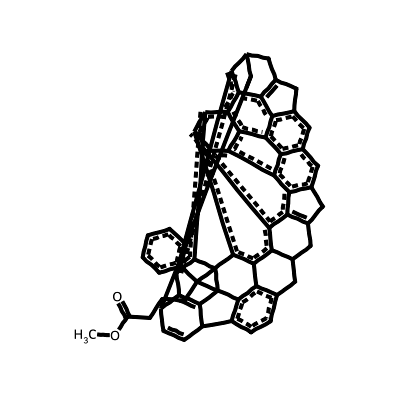 COC(=O)CCCC1(c2ccccc2)C23C4=C5c6c7c8c9c%10c%11cc%12cc%13c%14c%15c%16c%17c(c%18c%19c(c6C%1812)c8c1c%10c%12c%14c1c%16%19)-c1c(ccc(c13)C4C=CC5CC7CC=9C%11)CC%17CC=%15C%13